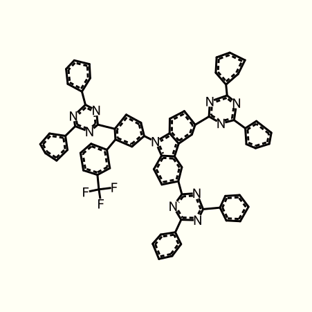 FC(F)(F)c1cccc(-c2cc(-n3c4ccc(-c5nc(-c6ccccc6)nc(-c6ccccc6)n5)cc4c4cc(-c5nc(-c6ccccc6)nc(-c6ccccc6)n5)ccc43)ccc2-c2nc(-c3ccccc3)nc(-c3ccccc3)n2)c1